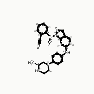 C[C@H]1CN(c2ccc(Nc3ncc4cnn([S+]([O-])c5ccccc5C#N)c4n3)cc2)CCN1